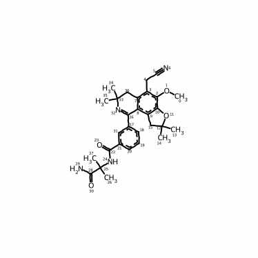 COc1c(CC#N)c2c(c3c1OC(C)(C)C3)C(c1cccc(C(=O)NC(C)(C)C(N)=O)c1)=NC(C)(C)C2